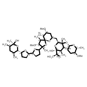 CO[C@H]1CC[C@H](O[C@@]2(C)[C@H](C[C@@H]3C[C@@H](OC)[C@@H](C)[C@]4(O3)O[C@](C)(C3CC[C@@H]([C@H]5CC[C@H](C6O[C@](C)(O)[C@H](C)C[C@@H]6C)O5)O3)[C@H](OC)[C@H]4C)O[C@](O)([C@@H](C)C(=O)O)[C@H](C)[C@@H]2OC)O[C@@H]1C